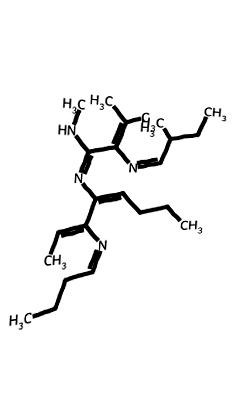 C/C=C(\N=C/CCC)C(=C\CCC)/N=C(/NC)C(/N=C\C(C)CC)=C(C)C